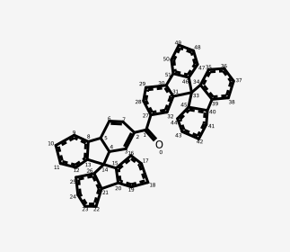 O=C(C1=CC2C(C=C1)c1ccccc1C21c2ccccc2-c2ccccc21)c1ccc2c(c1)C1(c3ccccc3-c3ccccc31)c1ccccc1-2